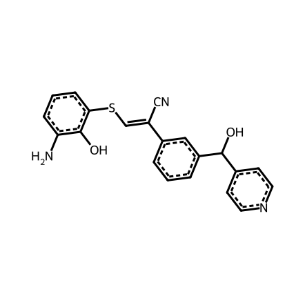 N#C/C(=C\Sc1cccc(N)c1O)c1cccc(C(O)c2ccncc2)c1